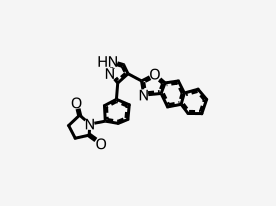 O=C1CCC(=O)N1c1cccc(-c2n[nH]cc2-c2nc3cc4ccccc4cc3o2)c1